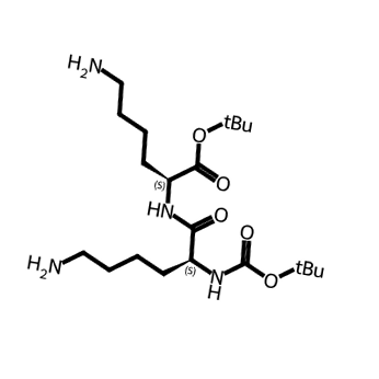 CC(C)(C)OC(=O)N[C@@H](CCCCN)C(=O)N[C@@H](CCCCN)C(=O)OC(C)(C)C